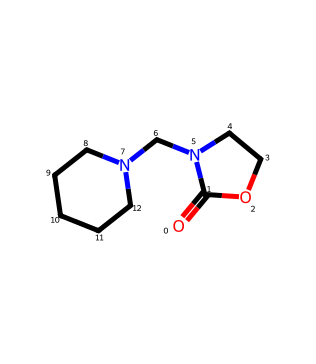 O=C1OCCN1CN1CCCCC1